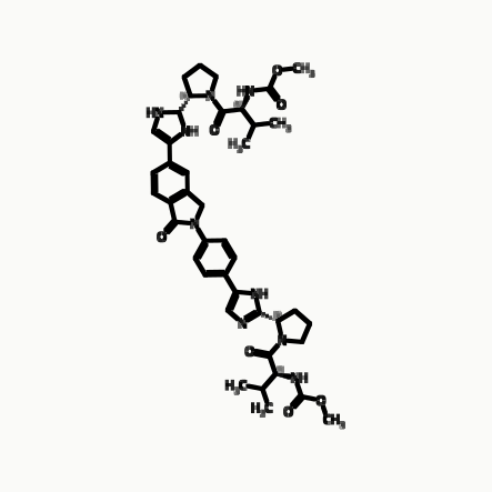 COC(=O)N[C@H](C(=O)N1CCC[C@H]1c1ncc(-c2ccc(N3Cc4cc(C5=CNC([C@@H]6CCCN6C(=O)[C@@H](NC(=O)OC)C(C)C)N5)ccc4C3=O)cc2)[nH]1)C(C)C